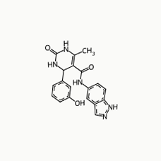 CC1=C(C(=O)Nc2ccc3[nH]ncc3c2)C(c2cccc(O)c2)NC(=O)N1